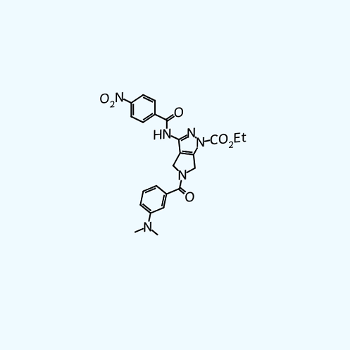 CCOC(=O)n1nc(NC(=O)c2ccc([N+](=O)[O-])cc2)c2c1CN(C(=O)c1cccc(N(C)C)c1)C2